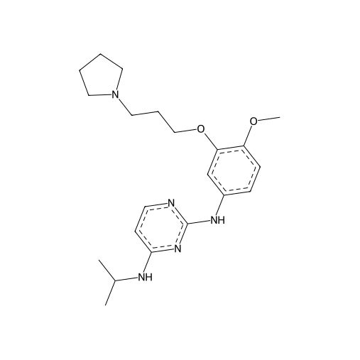 COc1ccc(Nc2nccc(NC(C)C)n2)cc1OCCCN1CCCC1